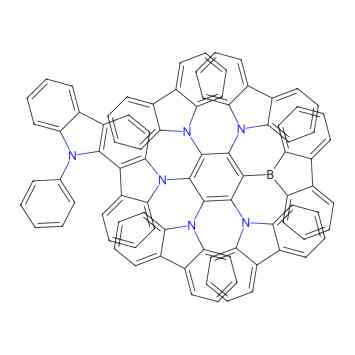 c1ccc(-n2c3ccccc3c3ccc4c(c5ccccc5n4-c4c(-n5c6ccccc6c6ccccc65)c(-n5c6ccccc6c6ccccc65)c(B5c6ccccc6-c6ccccc65)c(-n5c6ccccc6c6ccccc65)c4-n4c5ccccc5c5ccccc54)c32)cc1